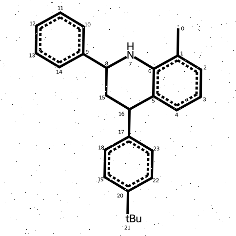 [CH2]c1cccc2c1NC(c1ccccc1)CC2c1ccc(C(C)(C)C)cc1